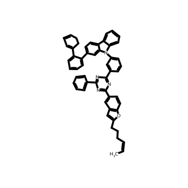 C/C=C\CCCc1cc2cc(-c3nc(-c4ccccc4)nc(-c4cccc(-n5c6ccccc6c6ccc(-c7ccccc7C7=CC=CCC7)cc65)c4)n3)ccc2o1